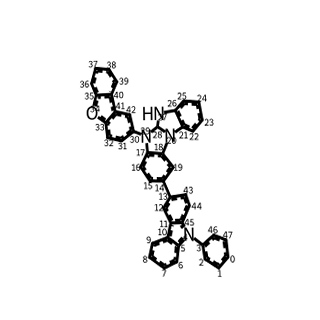 c1ccc(-n2c3ccccc3c3cc(-c4ccc5c(c4)N4c6ccccc6NC4N5c4ccc5oc6ccccc6c5c4)ccc32)cc1